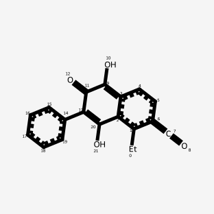 CCc1c2c(ccc1=C=O)=C(O)C(=O)C(c1ccccc1)=C2O